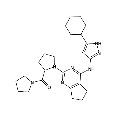 O=C(C1CCCN1c1nc2c(c(Nc3cc(C4CCCCC4)[nH]n3)n1)CCC2)N1CCCC1